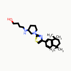 CC1(C)CCC(C)(C)c2cc(-c3csc(N4CCCC(NCCCCO)C4)n3)ccc21